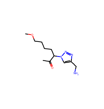 COCCCCC(C(C)=O)n1cc(CN)nn1